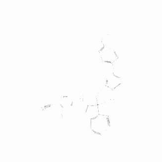 N#Cc1ccc(NC(=O)C(O)(Cc2cccc(-c3ccc(CO)cc3)c2)c2ccccc2)cc1Cl